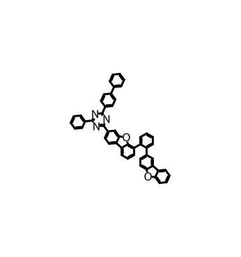 c1ccc(-c2ccc(-c3nc(-c4ccccc4)nc(-c4ccc5c(c4)oc4c(-c6ccccc6-c6ccc7oc8ccccc8c7c6)cccc45)n3)cc2)cc1